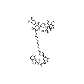 Cc1nc(Nc2ncc(C(=O)Nc3c(C)cccc3Cl)s2)cc(N2CCN(CCOCCOCCOCCNC(=O)c3c(C(=O)N4CCN(C(=O)[C@@H](NC(=O)[C@H](C)N(C)C(=O)O)C5CCCCC5)CC4)n(C)c4cc(F)c(F)cc34)CC2)n1